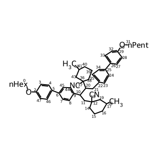 CCCCCCOc1ccc(-c2ccc(C(CC3(C#N)CCCC(C)C3)C(Cc3ccc(-c4ccc(OCCCCC)cc4)cc3)C3(C#N)CCCC(C)C3)cc2)cc1